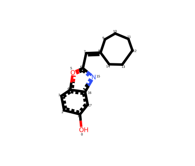 Oc1ccc2oc(C=C3CCCCCC3)nc2c1